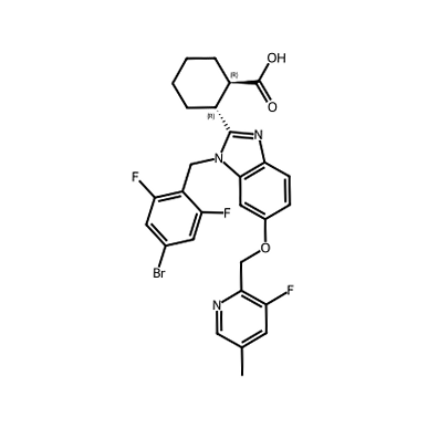 Cc1cnc(COc2ccc3nc([C@@H]4CCCC[C@H]4C(=O)O)n(Cc4c(F)cc(Br)cc4F)c3c2)c(F)c1